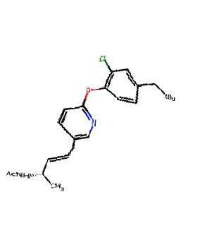 CC(=O)N[C@@H](C)/C=C/c1ccc(Oc2ccc(CC(C)(C)C)cc2Cl)nc1